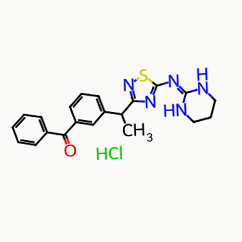 CC(c1cccc(C(=O)c2ccccc2)c1)c1nsc(N=C2NCCCN2)n1.Cl